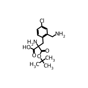 CC(C)(C)OC(=O)C(N)(Cc1ccc(Cl)cc1CN)C(=O)O